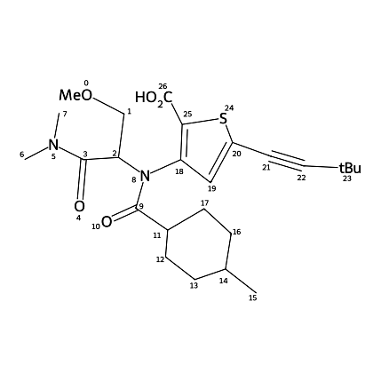 COCC(C(=O)N(C)C)N(C(=O)C1CCC(C)CC1)c1cc(C#CC(C)(C)C)sc1C(=O)O